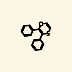 C1=CSC(c2ccccc2)=C(c2ccccc2)O1